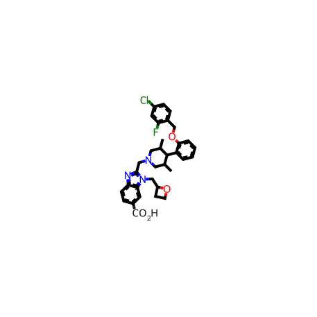 CC1CN(Cc2nc3ccc(C(=O)O)cc3n2CC2CCO2)CC(C)C1c1ccccc1OCc1ccc(Cl)cc1F